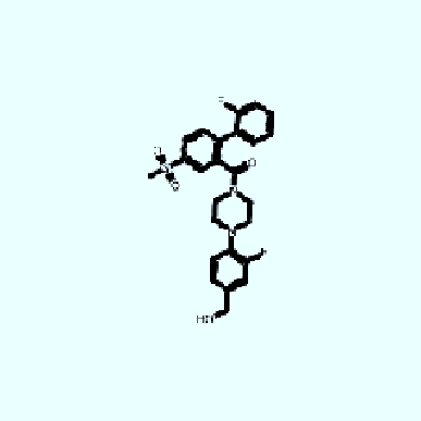 CS(=O)(=O)c1ccc(-c2ccccc2F)c(C(=O)N2CCN(c3ccc(CO)cc3F)CC2)c1